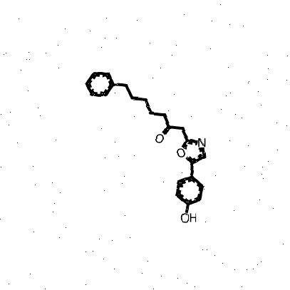 O=C(CCCCCc1ccccc1)Cc1ncc(-c2ccc(O)cc2)o1